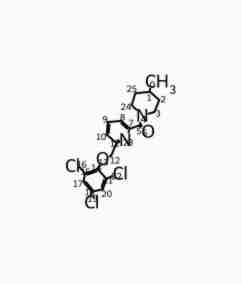 CC1CCN(C(=O)c2cccc(COc3c(Cl)cc(Cl)cc3Cl)n2)CC1